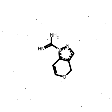 N=C(N)n1ncc2c1C=COC2